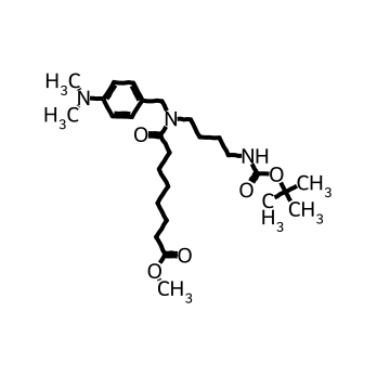 COC(=O)CCCCCCC(=O)N(CCCCNC(=O)OC(C)(C)C)Cc1ccc(N(C)C)cc1